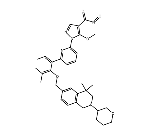 C/C=C(\C(OCc1ccc2c(c1)C(C)(C)CN(C1CCCOC1)C2)=C(C)C)c1cccc(-n2ncc(C(=O)N=O)c2OC)n1